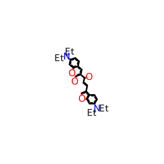 CCN(CC)c1ccc2cc(C(=O)C=Cc3coc4cc(N(CC)CC)ccc34)c(=O)oc2c1